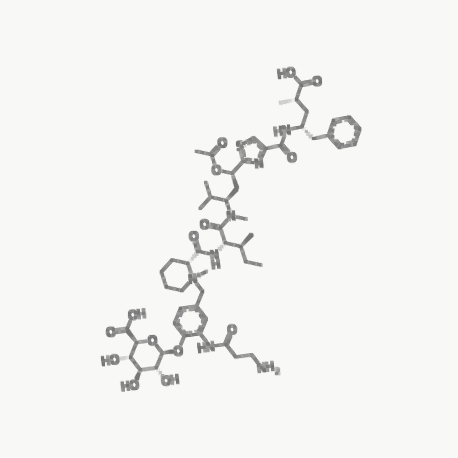 CC[C@H](C)[C@H](NC(=O)[C@H]1CCCC[N+]1(C)Cc1ccc(O[C@@H]2O[C@H](C(=O)O)[C@@H](O)[C@H](O)[C@H]2O)c(NC(=O)CCN)c1)C(=O)N(C)[C@H](C[C@@H](OC(C)=O)c1nc(C(=O)N[C@@H](Cc2ccccc2)C[C@H](C)C(=O)O)cs1)C(C)C